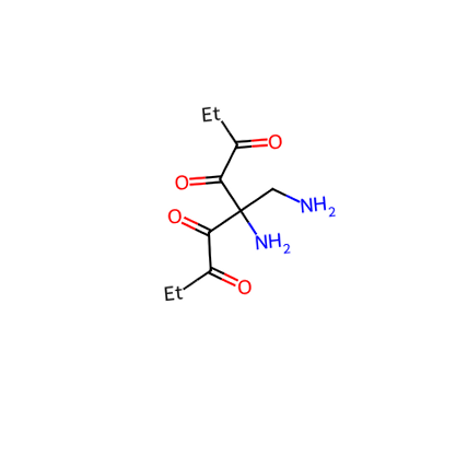 CCC(=O)C(=O)C(N)(CN)C(=O)C(=O)CC